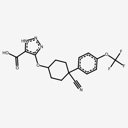 N#CC1(c2ccc(OC(F)(F)F)cc2)CCC(Oc2nn[nH]c2C(=O)O)CC1